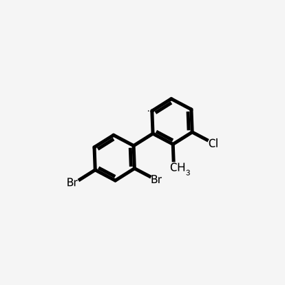 Cc1c(-c2ccc(Br)cc2Br)[c]ccc1Cl